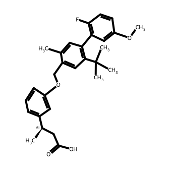 COc1ccc(F)c(-c2cc(C)c(COc3cccc([C@H](C)CC(=O)O)c3)cc2C(C)(C)C)c1